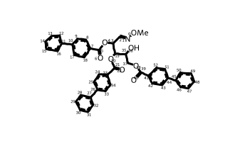 CON=CC(OC(=O)c1ccc(-c2ccccc2)cc1)C(OC(=O)c1ccc(-c2ccccc2)cc1)C(O)COC(=O)c1ccc(-c2ccccc2)cc1